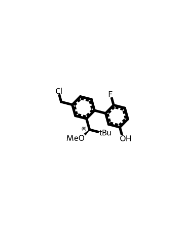 CO[C@@H](c1cc(CCl)ccc1-c1cc(O)ccc1F)C(C)(C)C